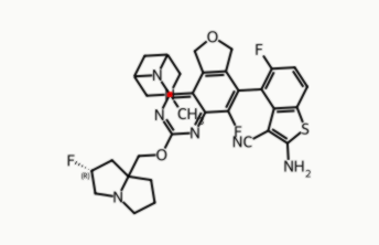 CN1CC2CC(C1)N2c1nc(OCC23CCCN2C[C@H](F)C3)nc2c(F)c(-c3c(F)ccc4sc(N)c(C#N)c34)c3c(c12)COC3